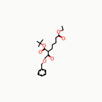 CCOC(=O)CCCCC(C(=O)COCc1ccccc1)C(=O)OC(C)(C)C